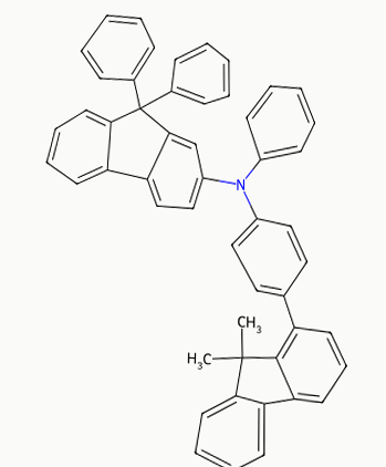 CC1(C)c2ccccc2-c2cccc(-c3ccc(N(c4ccccc4)c4ccc5c(c4)C(c4ccccc4)(c4ccccc4)c4ccccc4-5)cc3)c21